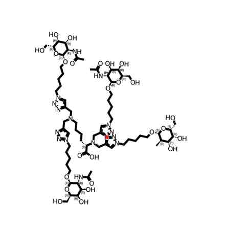 CC(=O)N[C@H]1[C@H](OCCCCCn2cc(CN(CCCC[C@@H](C(=O)O)N(Cc3cn(CCCCCO[C@@H]4O[C@H](CO)[C@H](O)[C@H](O)[C@H]4C)nn3)Cc3cn(CCCCCO[C@@H]4O[C@H](CO)[C@H](O)[C@H](O)[C@H]4NC(C)=O)nn3)Cc3cn(CCCCCO[C@@H]4O[C@H](CO)[C@H](O)[C@H](O)[C@H]4NC(C)=O)nn3)nn2)O[C@H](CO)[C@H](O)[C@@H]1O